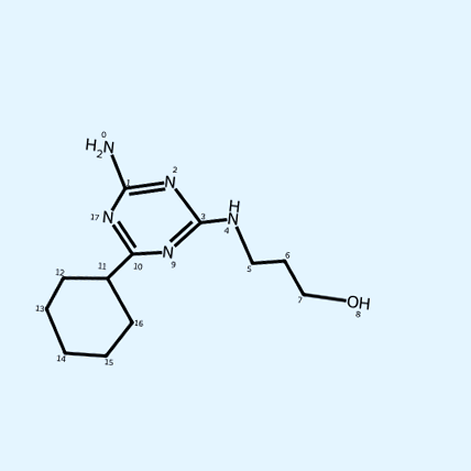 Nc1nc(NCCCO)nc(C2CCCCC2)n1